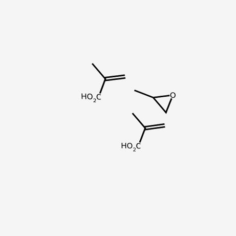 C=C(C)C(=O)O.C=C(C)C(=O)O.CC1CO1